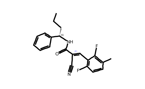 CCC[C@H](NC(=O)/C(C#N)=C/c1c(F)ccc(C)c1F)c1ccccc1